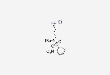 CC/C=C\CCCN(C(C)(C)C)S(=O)(=O)c1ccccc1[N+](=O)[O-]